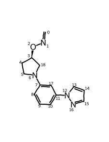 C=NO[C@@H]1CCN(c2cccc(-n3cccn3)c2)C1